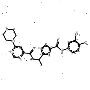 CC(NC(=O)c1cc(N2CCOCC2)ncn1)c1ncc(C(=O)Nc2ccc(Cl)c(C(F)(F)F)c2)s1